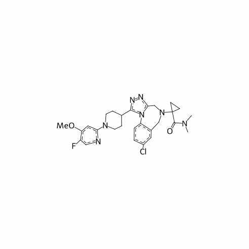 COc1cc(N2CCC(c3nnc4n3-c3ccc(Cl)cc3CN(C3(C(=O)N(C)C)CC3)C4)CC2)ncc1F